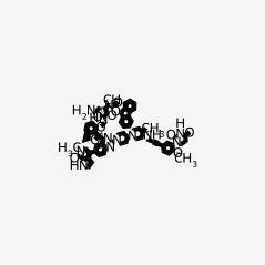 COc1ccc(C#CCNC2(C)CCN(C3CCN(c4nc([C@@](COCNC(=O)[C@H](CC(N)=O)N(C)C(=O)OC5c6ccccc6-c6ccccc65)(OC5CC5)c5ccccc5)c5cc(-c6cn(C)c(=O)c7[nH]ccc67)ccc5n4)CC3)CC2)cc1N1CCC(=O)NC1=O